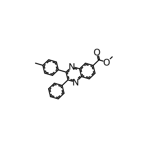 COC(=O)c1ccc2nc(-c3ccccc3)c(-c3ccc(C)cc3)nc2c1